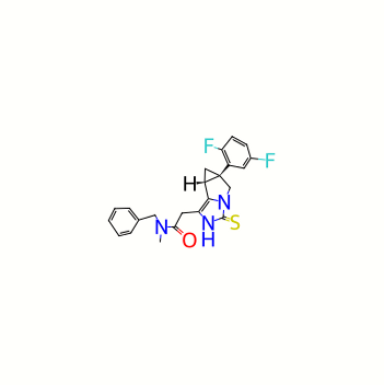 CN(Cc1ccccc1)C(=O)Cc1[nH]c(=S)n2c1[C@@H]1C[C@]1(c1cc(F)ccc1F)C2